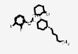 CCCCC[C@H]1CC[C@H](C(C)Oc2cccc(F)c2F)CC1.O=C1CCCCC1